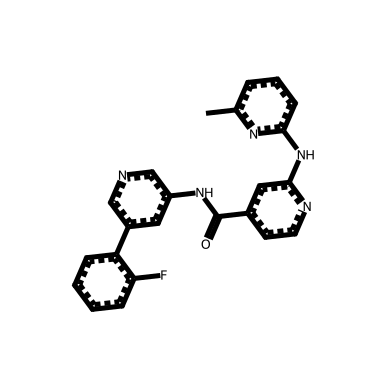 Cc1cccc(Nc2cc(C(=O)Nc3cncc(-c4ccccc4F)c3)ccn2)n1